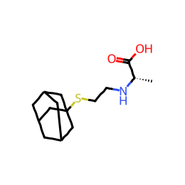 C[C@H](NCCSC12CC3CC(CC(C3)C1)C2)C(=O)O